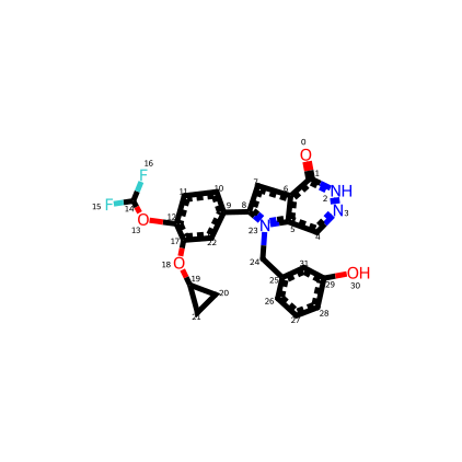 O=c1[nH]ncc2c1cc(-c1ccc(OC(F)F)c(OC3CC3)c1)n2Cc1cccc(O)c1